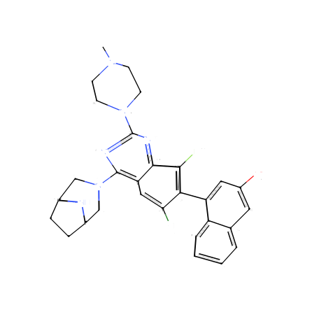 CN1CCN(c2nc(N3CC4CCC(C3)N4)c3cc(Cl)c(-c4cc(O)cc5ccccc45)c(F)c3n2)CC1